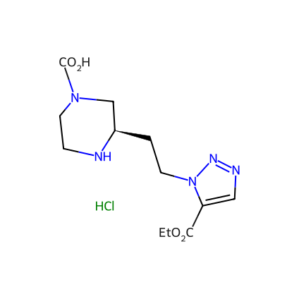 CCOC(=O)c1cnnn1CC[C@@H]1CN(C(=O)O)CCN1.Cl